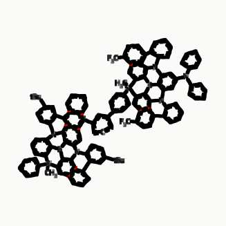 CC(C)(C)c1ccc(N2c3cc(N(c4ccccc4)c4cccc(-c5ccc([Si]6(C)c7cccc8c7B7c9c(cc(N(c%10ccccc%10)c%10ccccc%10)cc9N(c9ccccc9-c9ccc(C(F)(F)F)cc9)c9cccc6c97)N8c6ccccc6-c6ccc(C(F)(F)F)cc6)cc5)c4)cc4c3B3c5c2cccc5[Si](C)(c2ccccc2)c2cccc(c23)N4c2ccc(C(C)(C)C)cc2-c2ccccc2)c(-c2ccccc2)c1